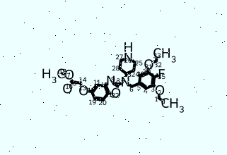 CCOc1cc(CN(c2nc3cc(OCC(=O)OC)ccc3o2)C2CCNCC2)cc(OCC)c1F